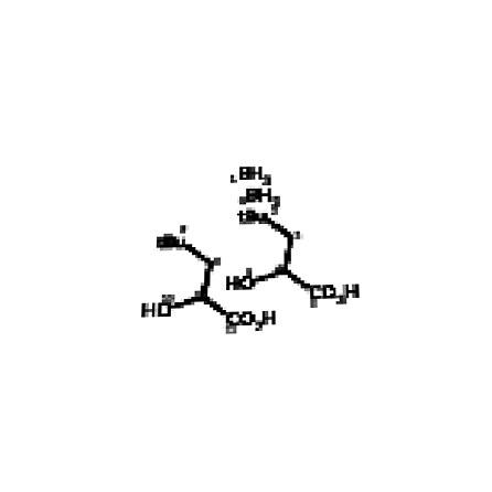 B.B.CC(C)(C)CC(O)C(=O)O.CC(C)(C)CC(O)C(=O)O